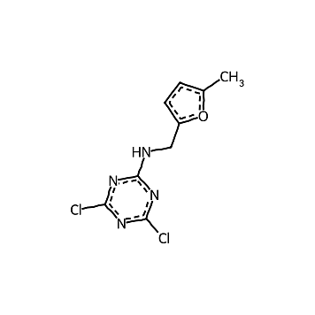 Cc1ccc(CNc2nc(Cl)nc(Cl)n2)o1